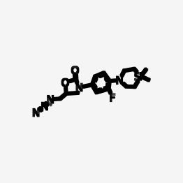 C[Si]1(C)CCN(c2ccc(N3CC(CN=[N+]=[N-])OC3=O)cc2F)CC1